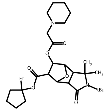 CCC1(OC(=O)C2C(OC(=O)CN3CCCCC3)C3OC2C2C(=O)N(C(C)(C)C)C(C)(C)C32)CCCC1